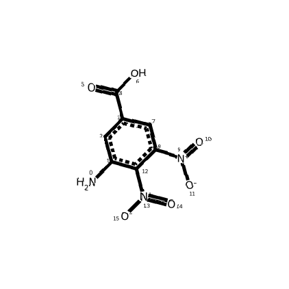 Nc1cc(C(=O)O)cc([N+](=O)[O-])c1[N+](=O)[O-]